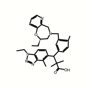 CC[C@@H]1CN(Cc2cc(C(c3ccc4c(nnn4CC)c3C)C(C)(C)C(=O)O)ccc2C)Cc2ncccc2O1